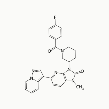 Cn1c(=O)n(C2CCCN(C(=O)c3ccc(F)cc3)C2)c2nc(-c3cnn4ccccc34)ccc21